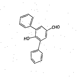 O=Cc1cc(-c2ccccc2)c(O)c(-c2ccccc2)c1